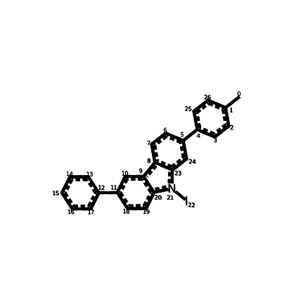 Cc1ccc(-c2ccc3c4cc(-c5ccccc5)ccc4n(I)c3c2)cc1